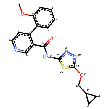 COc1ccccc1-c1ccncc1C(=O)Nc1nnc(OCC2CC2)s1